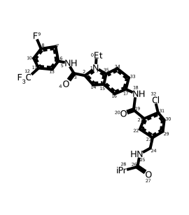 CCn1c(C(=O)Nc2cc(F)cc(C(F)(F)F)c2)cc2cc(NC(=O)c3cc(CNC(=O)C(C)C)ccc3Cl)ccc21